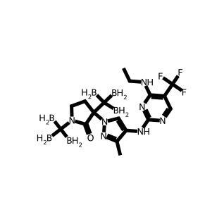 BC(B)(B)N1CCC(n2cc(Nc3ncc(C(F)(F)F)c(NCC)n3)c(C)n2)(C(B)(B)B)C1=O